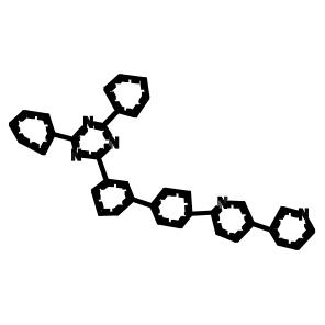 c1ccc(-c2nc(-c3ccccc3)nc(-c3cccc(-c4ccc(-c5ccc(-c6cccnc6)cn5)cc4)c3)n2)cc1